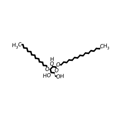 CCCCCCCCCCCCCCCCO[C@H]1O[C@H](CO)[C@H](O)[C@H](OCCCCCCCCCCCCCC)[C@H]1O